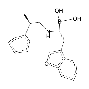 C[C@@H](CN[C@@H](Cc1coc2ccccc12)B(O)O)c1ccccc1